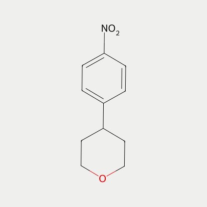 O=[N+]([O-])c1ccc(C2CCOCC2)cc1